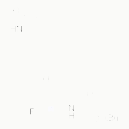 CC(C)(C)OC(=O)NC/C(=C/F)COC1=CC=C2NC(=O)C3CC3=C2C1